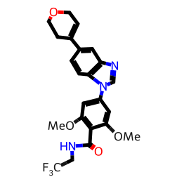 COc1cc(-n2cnc3cc(C4=CCOCC4)ccc32)cc(OC)c1C(=O)NCC(F)(F)F